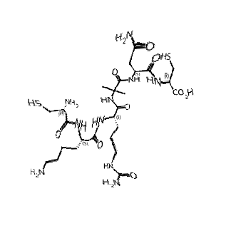 CC(C)(NC(=O)[C@H](CCCNC(N)=O)NC(=O)[C@H](CCCCN)NC(=O)[C@@H](N)CS)C(=O)N[C@@H](CC(N)=O)C(=O)N[C@@H](CS)C(=O)O